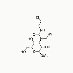 CO[C@H]1O[C@H](CO)[C@@H](O)[C@@H](N(CC(C)C)C(=O)NCCCl)[C@H]1O